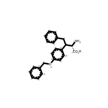 N[C@H](C(=O)O)C(Cc1ccccc1)c1ccc(OCc2ccccc2)cc1